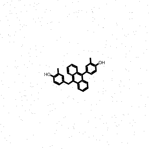 Cc1cc(Cc2c3ccccc3c(-c3ccc(O)c(C)c3)c3ccccc23)ccc1O